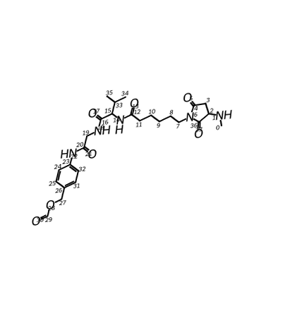 CNC1CC(=O)N(CCCCCC(=O)NC(C(=O)NCC(=O)Nc2ccc(COC=O)cc2)C(C)C)C1=O